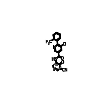 CC(C)C[C@H](NC(=O)c1cnc(-c2ccccc2C(F)(F)F)c(Cl)c1)C(=O)N(C)C#N